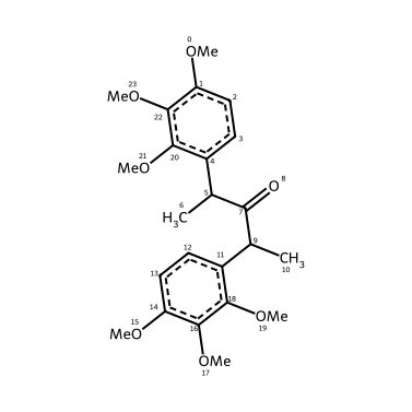 COc1ccc(C(C)C(=O)C(C)c2ccc(OC)c(OC)c2OC)c(OC)c1OC